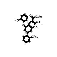 COC(=O)C1=C(C)NC2=C(C(=O)C[C@H](c3ccccc3OC)C2)[C@@H]1c1cccc(O)c1